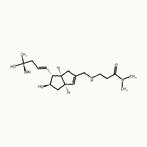 CCCC[C@](C)(O)C/C=C/[C@@H]1[C@H]2CC(CNCCC(=O)N(C)C)=C[C@H]2C[C@H]1O